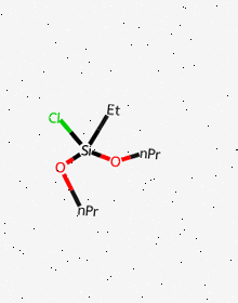 CCCO[Si](Cl)(CC)OCCC